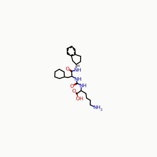 NCCCCC(NC(=O)NC(CC1CCCCC1)C(=O)N[C@@H]1CCc2ccccc2C1)C(=O)O